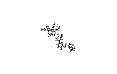 CC1(C)COC[C@H]1n1c(Cc2cc(F)c(-c3ccc(F)c(OCc4ncc(C(F)(F)F)s4)n3)cc2F)nc2c(F)cc(C(=O)O)cc21